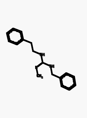 CSC(NCCc1ccccc1)NCc1ccccc1